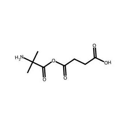 CC(C)(N)C(=O)OC(=O)CCC(=O)O